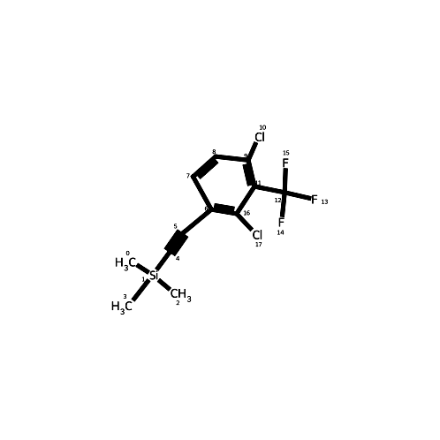 C[Si](C)(C)C#Cc1ccc(Cl)c(C(F)(F)F)c1Cl